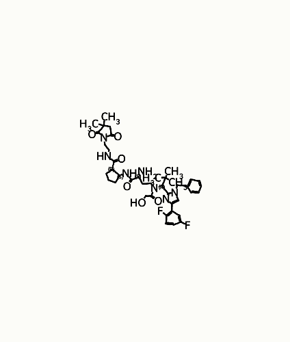 CC1(C)CC(=O)N(CCNC(=O)[C@@H]2CCC[C@@H]2NC(=O)[C@@H](N)CCN(C(=O)CO)[C@@H](c2nc(-c3cc(F)ccc3F)cn2Cc2ccccc2)C(C)(C)C)C1=O